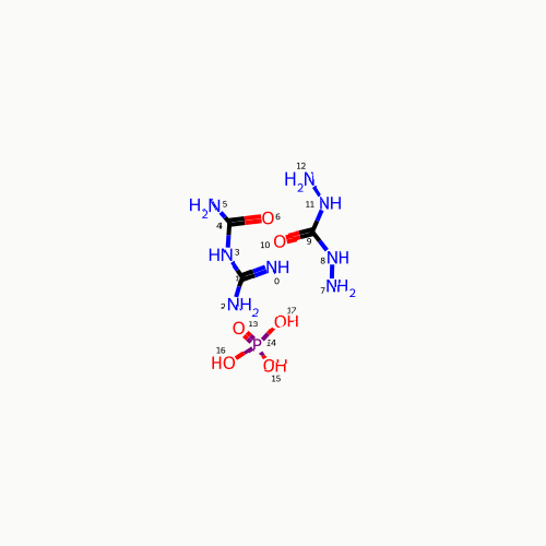 N=C(N)NC(N)=O.NNC(=O)NN.O=P(O)(O)O